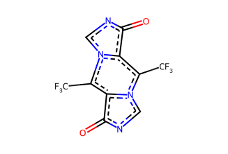 O=c1ncn2c(C(F)(F)F)c3c(=O)ncn3c(C(F)(F)F)c12